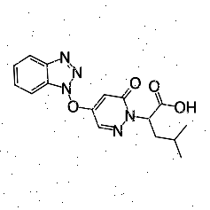 CC(C)CC(C(=O)O)n1ncc(On2nnc3ccccc32)cc1=O